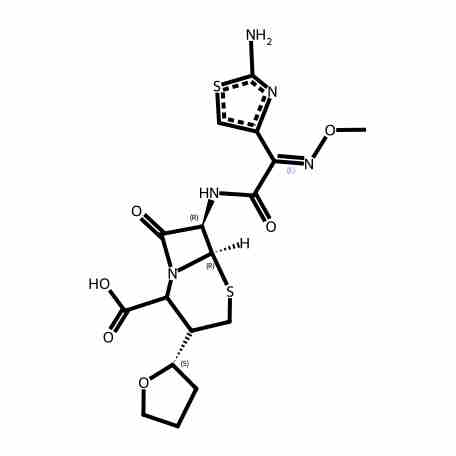 CO/N=C(/C(=O)N[C@@H]1C(=O)N2C(C(=O)O)C([C@@H]3CCCO3)CS[C@H]12)c1csc(N)n1